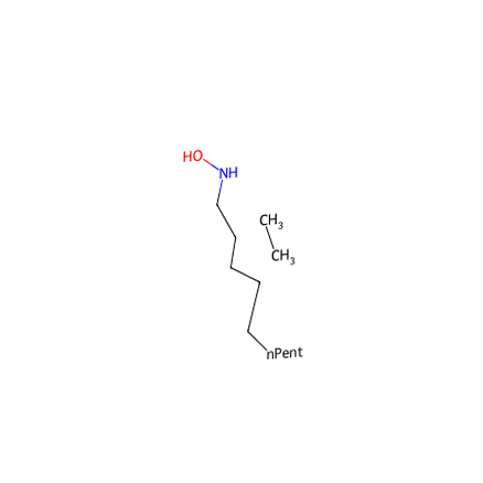 CC.CCCCCCCCCCNO